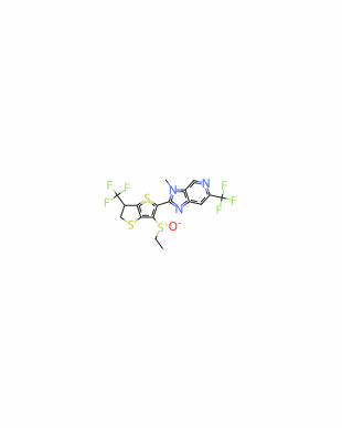 CC[S+]([O-])c1c(-c2nc3cc(C(F)(F)F)ncc3n2C)sc2c1SCC2C(F)(F)F